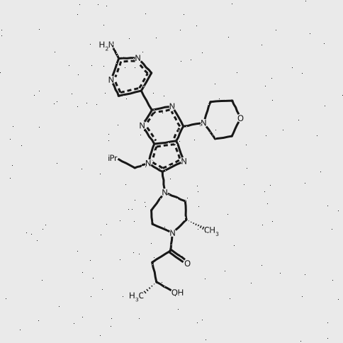 CC(C)Cn1c(N2CCN(C(=O)C[C@@H](C)O)[C@@H](C)C2)nc2c(N3CCOCC3)nc(-c3cnc(N)nc3)nc21